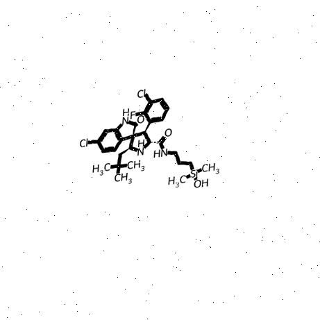 CC(C)(C)C[C@@H]1N[C@@H](C(=O)NCCC[Si](C)(C)O)[C@H](c2cccc(Cl)c2F)[C@]12C(=O)Nc1cc(Cl)ccc12